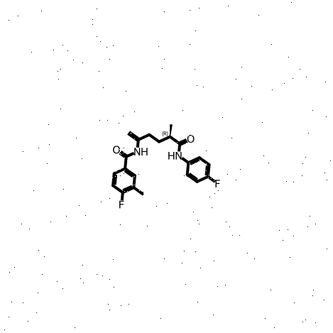 C=C(CC[C@@H](C)C(=O)Nc1ccc(F)cc1)NC(=O)c1ccc(F)c(C)c1